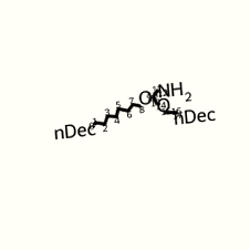 CCCCCCCCCCCCCCCCCCOC(CN)COCCCCCCCCCCCC